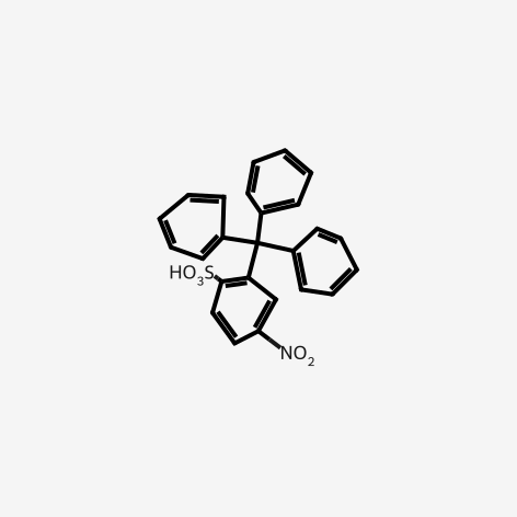 O=[N+]([O-])c1ccc(S(=O)(=O)O)c(C(c2ccccc2)(c2ccccc2)c2ccccc2)c1